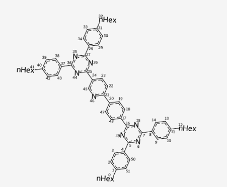 CCCCCCc1ccc(-c2nc(-c3ccc(CCCCCC)cc3)nc(-c3ccc(-c4ccc(-c5nc(-c6ccc(CCCCCC)cc6)nc(-c6ccc(CCCCCC)cc6)n5)cn4)cc3)n2)cc1